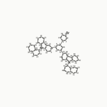 Brc1ccc(-c2cc(-c3ccc4c(c3)c3ccccc3n4-c3cccc4ccccc34)cc(-c3ccc4c(c3)c3ccccc3n4-c3cccc4ccccc34)c2)cc1